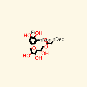 CCCCCCCCCCCC(=O)OC[C@@H](O)[C@H]1OC[C@H](O)[C@H]1O.CCCCCCCCCc1ccccc1O.CCO